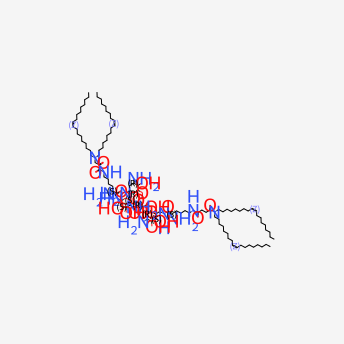 CCCCCCCC/C=C\CCCCCCCCN(CCCCCCCC/C=C\CCCCCCCC)CC(=O)C(=O)NCCCC[C@H](N)C(=O)NC1O[C@H](O[C@@H]2C(N)C[C@@H](N)C(O)C2OCO[C@H](CO)C(CO)O[C@H]2OC(CNC(=O)[C@@H](N)CCCCNC(=O)CCC(=O)N(CCCCCCCC/C=C\CCCCCCCC)CCCCCCCC/C=C\CCCCCCCC)[C@@H](O)C(O)C2N)C(N)C(O)[C@@H]1O